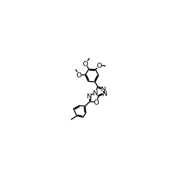 COc1cc(-c2nnc3oc(-c4ccc(C)cc4)nn23)cc(OC)c1OC